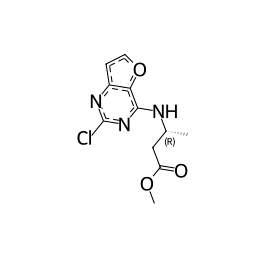 COC(=O)C[C@@H](C)Nc1nc(Cl)nc2ccoc12